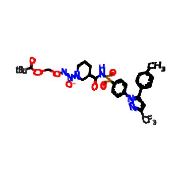 Cc1ccc(-c2cc(C(F)(F)F)nn2-c2ccc(S(=O)(=O)NC(=O)C3CCCN([N+]([O-])=NOCOC(=O)C(C)(C)C)C3)cc2)cc1